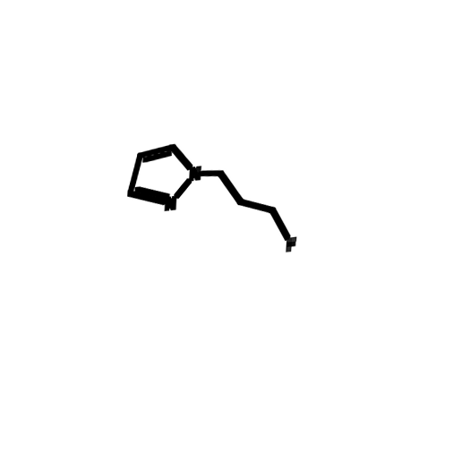 FCCCn1cccn1